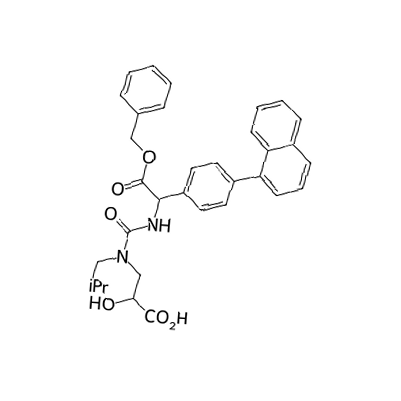 CC(C)CN(CC(O)C(=O)O)C(=O)NC(C(=O)OCc1ccccc1)c1ccc(-c2cccc3ccccc23)cc1